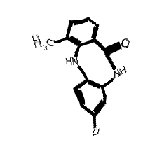 Cc1cccc2c1Nc1ccc(Cl)cc1NC2=O